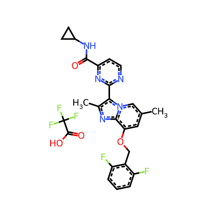 Cc1cc(OCc2c(F)cccc2F)c2nc(C)c(-c3nccc(C(=O)NC4CC4)n3)n2c1.O=C(O)C(F)(F)F